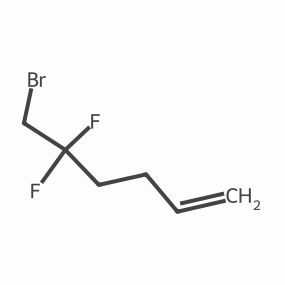 C=CCCC(F)(F)CBr